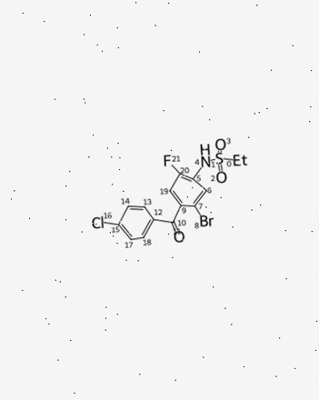 CCS(=O)(=O)Nc1cc(Br)c(C(=O)c2ccc(Cl)cc2)cc1F